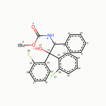 CC(C)(C)OC(=O)NC(c1ccccc1)C(O)(c1ccccc1F)c1ccccc1F